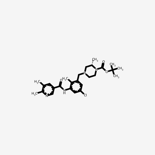 Cc1cc(C(=O)Nc2cc(Cl)cc(CN3CCN(C(=O)OC(C)(C)C)[C@@H](C)C3)c2C)cnc1C